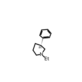 CCN1CCC[C@H](c2ccccc2)C1